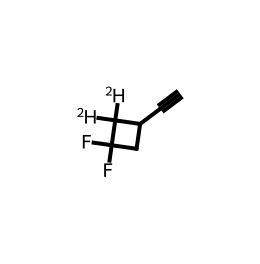 [2H]C1([2H])C(C#C)CC1(F)F